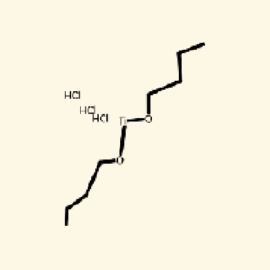 CCCC[O][Ti][O]CCCC.Cl.Cl.Cl